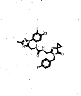 Cc1nc(CNC(=O)NCC2=NC3(CC3)C(=O)N2Cc2ccc(F)cc2)n(-c2ccc(Cl)c(F)c2)n1